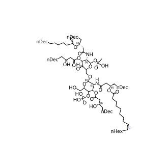 CCCCCC/C=C\CCCCCCCC(=O)O[C@H](CCCCCCCCCCC)CC(=O)N[C@H]1C(OC(=O)C[C@H](O)CCCCCCCCCCC)C(OP(=O)(O)O)C(CO)O[C@H]1OCC1OC(OP(C)(=O)O)[C@@H](NC(=O)C[C@@H](CCCCCCCCCCC)OC(=O)CCCCCCCCCCCCCCC)C(OC(=O)C[C@H](O)CCCCCCCCCCC)[C@@H]1O